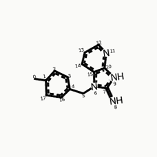 Cc1ccc(Cn2c(=N)[nH]c3ncccc32)cc1